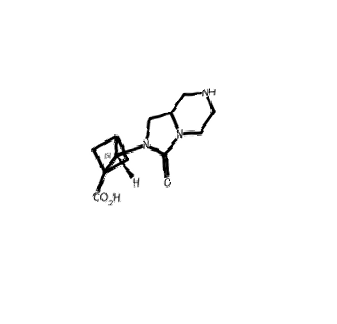 O=C1N2CCNCC2CN1[C@H]1C2CC1(C(=O)O)C2